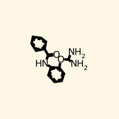 NC(N)Oc1ccccc1NC(=O)c1ccccc1